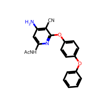 CC(=O)Nc1cc(N)c(C#N)c(Oc2ccc(Oc3ccccc3)cc2)n1